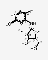 O=c1nc(N[C@@H]2O[C@H](CO)[C@@H](O)[C@@H]2F)c(I)c[nH]1